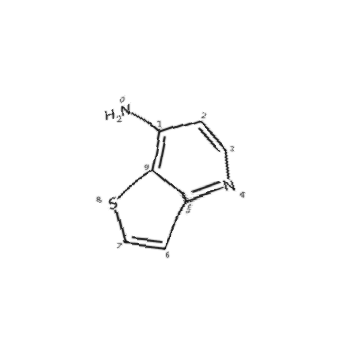 Nc1ccnc2ccsc12